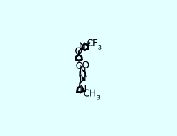 Cc1cccc(CCN2CCN(C(=O)Oc3ccc(Oc4ccc(C(F)(F)F)cn4)cc3)CC2)n1